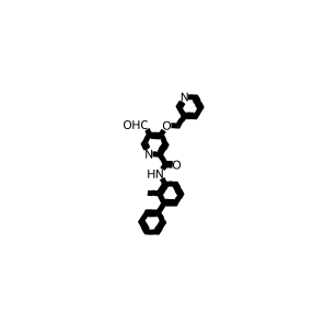 Cc1c(NC(=O)c2cc(OCc3cccnc3)c(C=O)cn2)cccc1-c1ccccc1